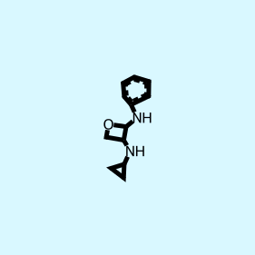 c1ccc(NC2OCC2NC2CC2)cc1